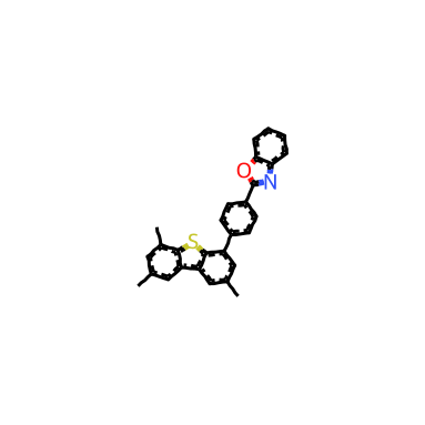 Cc1cc(C)c2sc3c(-c4ccc(-c5nc6ccccc6o5)cc4)cc(C)cc3c2c1